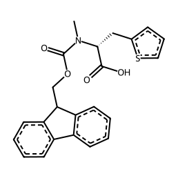 CN(C(=O)OCC1c2ccccc2-c2ccccc21)[C@H](Cc1cccs1)C(=O)O